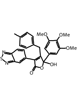 COc1cc(C2(O)OC(=O)C(c3ccc4nsnc4c3)=C2Cc2ccc(C)cc2)cc(OC)c1OC